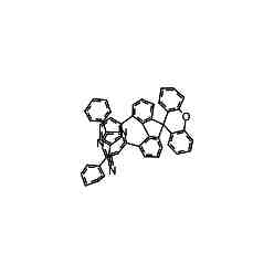 N#Cc1cccc(-c2cccc3c2-c2c(-c4cc(-c5ccccc5)nc(-c5ccccc5)n4)cccc2C32c3ccccc3Oc3ccccc32)c1